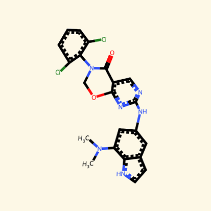 CN(C)c1cc(Nc2ncc3c(n2)OCN(c2c(Cl)cccc2Cl)C3=O)cc2cc[nH]c12